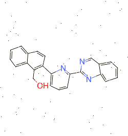 OCc1c(-c2cccc(-c3ncc4ccccc4n3)n2)ccc2ccccc12